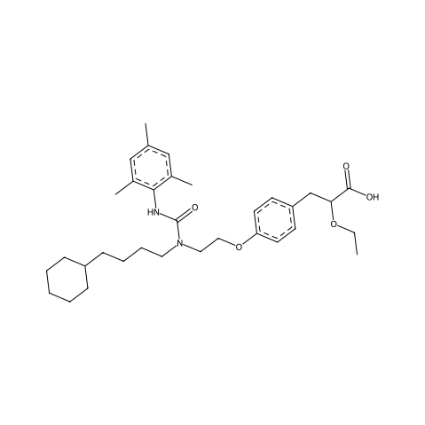 CCOC(Cc1ccc(OCCN(CCCCC2CCCCC2)C(=O)Nc2c(C)cc(C)cc2C)cc1)C(=O)O